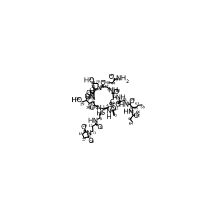 C=C(C)N/C1=C(\SCCNC(=O)CCN2C(=O)CCC2=O)NC(=O)[C@H]([C@@H](C)[C@@H](O)CO)NC(=O)[C@@H]2C[C@@H](O)CN2C(=O)[C@H](CCC(N)=O)NC(=O)[C@@H](NC(=O)CNC(=O)[C@@H](NC(=O)CC)[C@@H](C)CC)C[S+]1[O-]